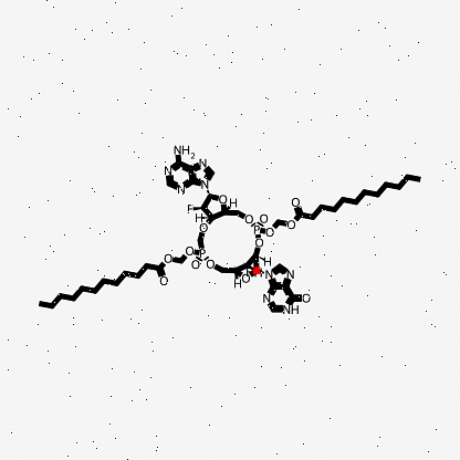 CCCCCCCCCCCC(=O)OCOP1(=O)CO[C@H]2[C@@H](F)[C@H](n3cnc4c(N)ncnc43)O[C@@H]2COP(=O)(OCOC(=O)CCCCCCCCCCC)O[C@@H]2[C@H](F)[C@@H](CO1)O[C@H]2n1cnc2c(=O)[nH]cnc21